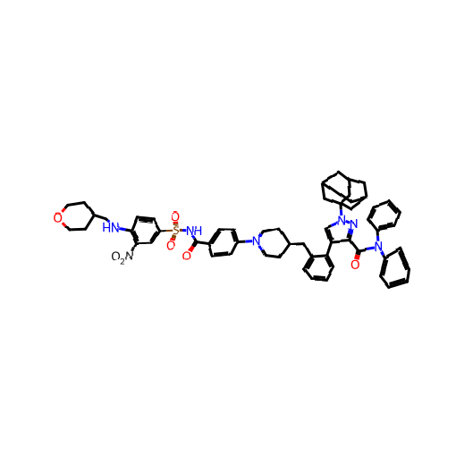 O=C(NS(=O)(=O)c1ccc(NCC2CCOCC2)c([N+](=O)[O-])c1)c1ccc(N2CCC(Cc3ccccc3-c3cn(C45CC6CC(CC(C6)C4)C5)nc3C(=O)N(c3ccccc3)c3ccccc3)CC2)cc1